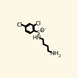 NCCCCN[S+]([O-])c1ccc(Cl)cc1Cl